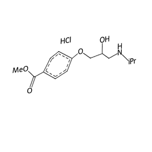 COC(=O)c1ccc(OCC(O)CNC(C)C)cc1.Cl